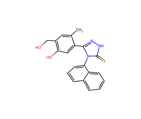 Cc1cc(CO)c(O)cc1-c1n[nH]c(=S)n1-c1cccc2ccccc12